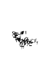 COc1cc2nn(CCS(=N)(=O)c3ccccc3)cc2cc1NC(=O)c1cccc(C(F)(F)F)n1